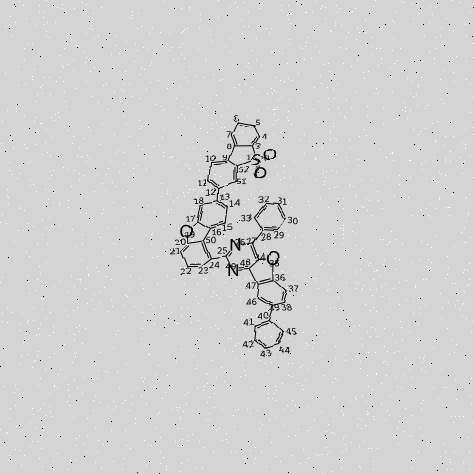 O=S1(=O)c2ccccc2-c2ccc(-c3ccc4c(c3)oc3cccc(-c5nc(-c6ccccc6)c6oc7ccc(-c8ccccc8)cc7c6n5)c34)cc21